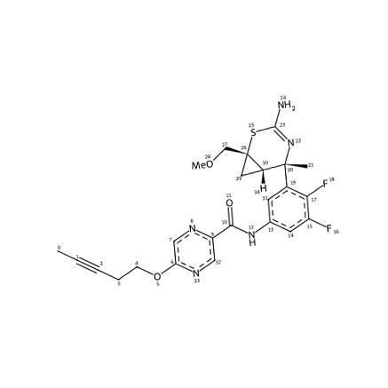 CC#CCCOc1cnc(C(=O)Nc2cc(F)c(F)c([C@@]3(C)N=C(N)S[C@@]4(COC)C[C@H]43)c2)cn1